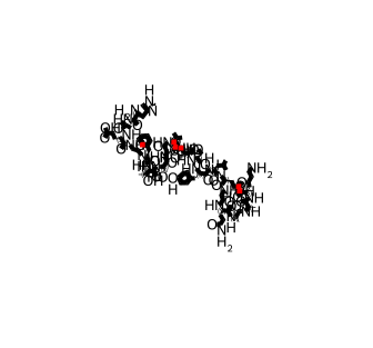 CC(C)C[C@H](NC(=O)[C@H](Cc1ccc(O)cc1)NC(=O)[C@H](CO)NC(=O)[C@H](CO)NC(=O)[C@@H](NC(=O)[C@H](CC(=O)O)NC(=O)[C@H](CO)NC(=O)[C@@H](NC(=O)[C@H](Cc1ccccc1)NC(=O)CNC(=O)[C@H](CCC(=O)O)NC(=O)C(C)(C)NC(=O)[C@@H](N)Cc1c[nH]cn1)[C@@H](C)O)C(C)C)C(=O)N[C@@H](CCC(=O)O)C(=O)NCC(=O)N[C@@H](CCC(N)=O)C(=O)N[C@@H](C)C(=O)N[C@@H](C)C(=O)N[C@@H](CCCCN)C(=O)O